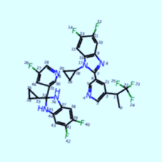 CC(c1cncc(-c2nc3cc(F)c(F)cc3n2C2CC2)c1)C(F)(F)F.Fc1cncc(C2(C3CC3)Nc3cc(F)c(F)cc3N2)c1